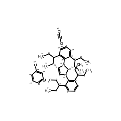 CCC(CC)c1cccc(C(CC)CC)c1N1C=CN(c2c(C(CC)CC)cccc2C(CC)CC)C1.Clc1cccnc1.[Cl][Pd][Cl]